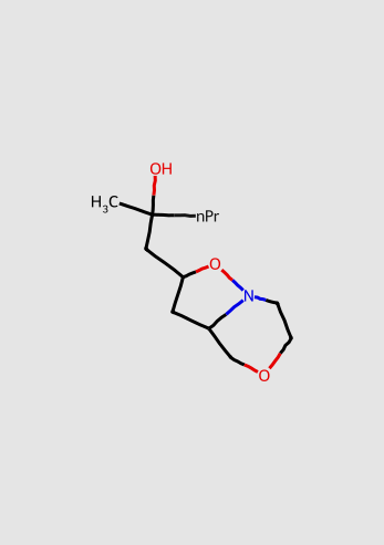 CCCC(C)(O)CC1CC2COCCN2O1